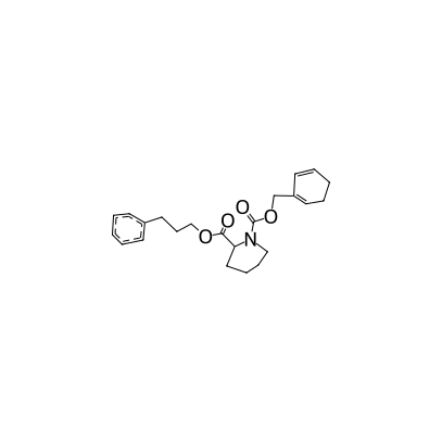 O=C(OCCCc1ccccc1)C1CCCCN1C(=O)OCC1=CCCC=C1